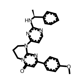 COc1ccc(-c2cc(=O)n3c(n2)N(c2ccnc(N[C@@H](C)c4ccccc4)n2)CCC3)cc1